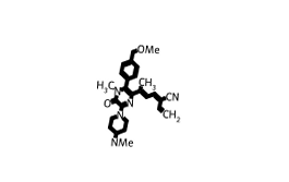 C=C/C(C#N)=C\C=C(/C)c1nc(N2CCC(NC)CC2)c(=O)n(C)c1-c1ccc(COC)cc1